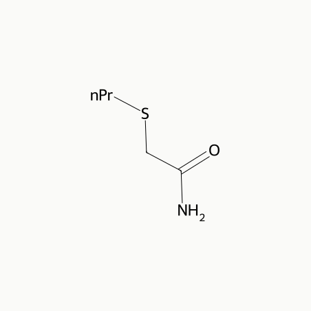 CCCSCC(N)=O